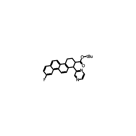 CC(C)(C)OC(=O)C1CCc2c(ccc3c2ccc2ccc(F)cc23)C1c1cnccn1